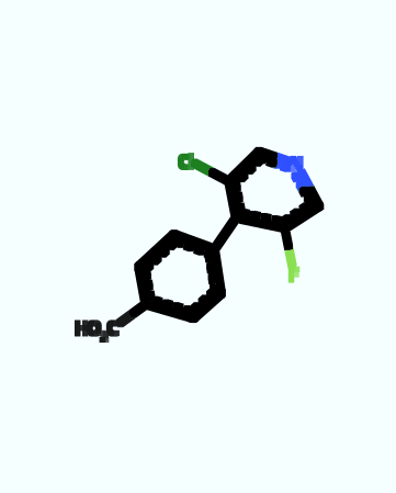 O=C(O)c1ccc(-c2c(F)cncc2Cl)cc1